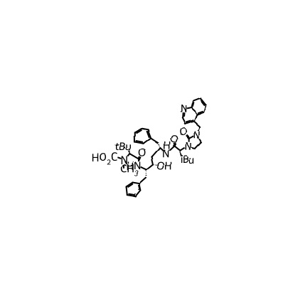 CCC(C)[C@@H](C(=O)N[C@@H](Cc1ccccc1)C[C@H](O)[C@H](Cc1ccccc1)NC(=O)[C@@H](N(C)C(=O)O)C(C)(C)C)N1CCN(Cc2ccnc3ccccc23)C1=O